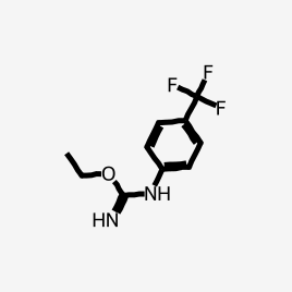 CCOC(=N)Nc1ccc(C(F)(F)F)cc1